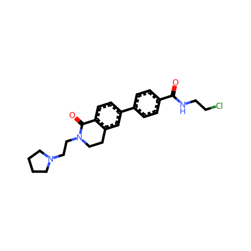 O=C(NCCCl)c1ccc(-c2ccc3c(c2)CCN(CCN2CCCC2)C3=O)cc1